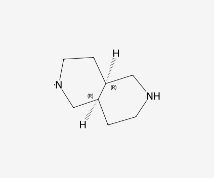 C1C[C@H]2CNCC[C@H]2C[N]1